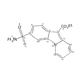 CCOC(=O)c1c2ccc(S(N)(=O)=O)cc2n2ccccc12